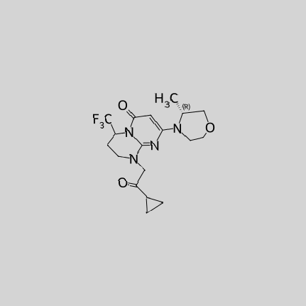 C[C@@H]1COCCN1c1cc(=O)n2c(n1)N(CC(=O)C1CC1)CCC2C(F)(F)F